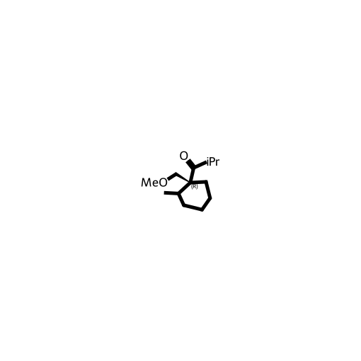 COC[C@@]1(C(=O)C(C)C)CCCCC1C